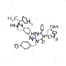 CC(C)N1NCc2cc(/N=c3\[nH]c(=O)n([C@@H](C)CC(=O)O)c(=O)n3Cc3ccc(Cl)cc3)ccc21